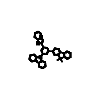 CC1(C)c2ccccc2-c2ccc(-c3cc(-c4cn5ccccc5n4)cc(-n4c5ccccc5c5ccccc54)c3)cc21